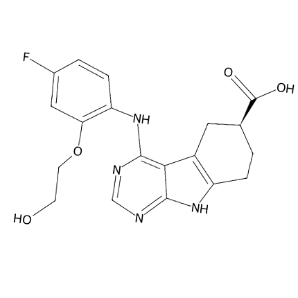 O=C(O)[C@H]1CCc2[nH]c3ncnc(Nc4ccc(F)cc4OCCO)c3c2C1